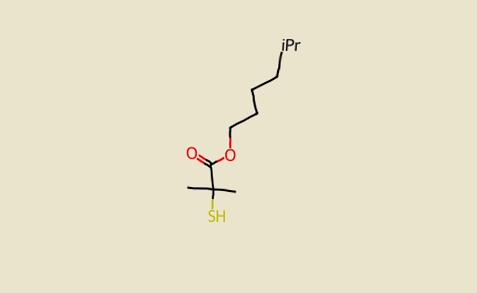 CC(C)CCCCOC(=O)C(C)(C)S